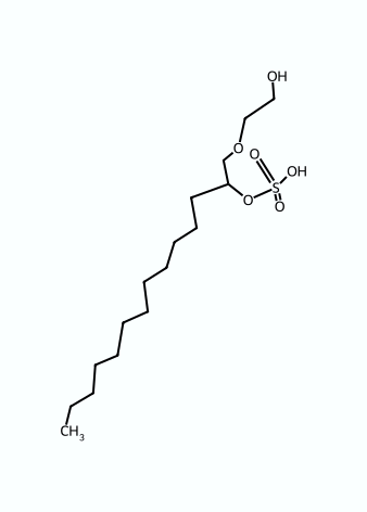 CCCCCCCCCCCCC(COCCO)OS(=O)(=O)O